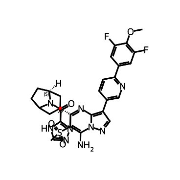 COc1c(F)cc(-c2ccc(-c3cnn4c(N)c(S(C)(=O)=O)c([C@@H]5CC6CC[C@@H](C5)N6C(=O)c5nnc[nH]5)nc34)cn2)cc1F